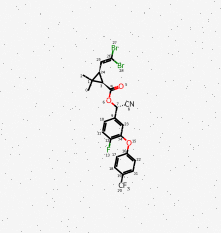 CC1(C)[C@H](C(=O)O[C@H](C#N)c2ccc(F)c(Oc3ccc(C(F)(F)F)cc3)c2)[C@@H]1C=C(Br)Br